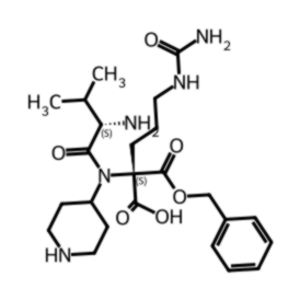 CC(C)[C@H](N)C(=O)N(C1CCNCC1)[C@@](CCCNC(N)=O)(C(=O)O)C(=O)OCc1ccccc1